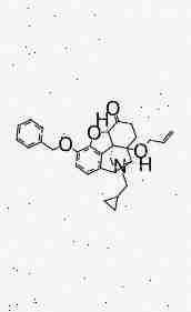 C=CCOC12CCC(=O)[C@@H]3Oc4c(OCc5ccccc5)ccc5c4[C@@]31CCN(CC1CC1)[C@@H]2C5